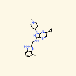 Cc1cccc2[nH]c(CNc3nn(C4CCN(C)CC4)c4nc(C5CC5)cnc34)nc12